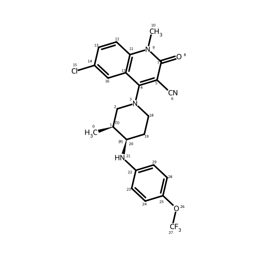 C[C@H]1CN(c2c(C#N)c(=O)n(C)c3ccc(Cl)cc23)CC[C@H]1Nc1ccc(OC(F)(F)F)cc1